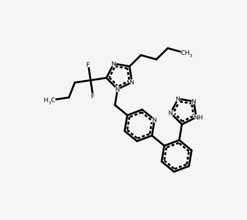 CCCCc1nc(C(F)(F)CCC)n(Cc2ccc(-c3ccccc3-c3nnn[nH]3)nc2)n1